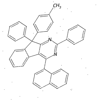 Cc1ccc(C2(c3ccccc3)c3ccccc3-c3c(-c4cccc5ccccc45)nc(-c4ccccc4)nc32)cc1